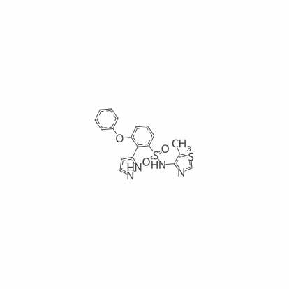 Cc1scnc1NS(=O)(=O)c1cccc(Oc2ccccc2)c1-c1ccn[nH]1